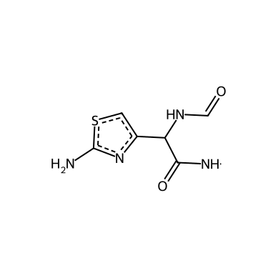 [NH]C(=O)C(NC=O)c1csc(N)n1